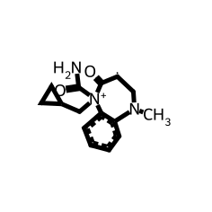 CN1C[CH]C(=O)[N+](CC2CC2)(C(N)=O)c2ccccc21